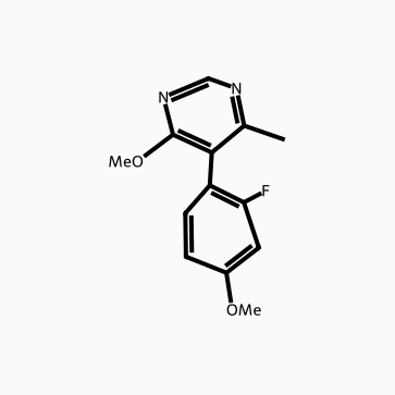 COc1ccc(-c2c(C)ncnc2OC)c(F)c1